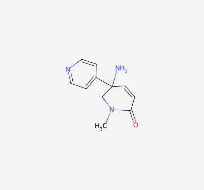 CN1CC(N)(c2ccncc2)C=CC1=O